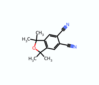 CC1(C)OC(C)(C)c2cc(C#N)c(C#N)cc21